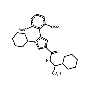 COc1cccc(OC)c1-c1cc(C(=O)NC(C(=O)O)C2CCCCC2)nn1C1CCCCC1